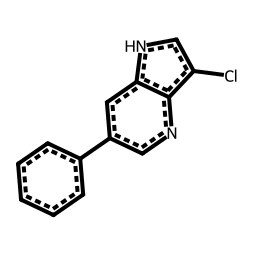 Clc1c[nH]c2cc(-c3ccccc3)cnc12